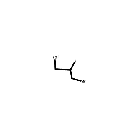 OCC(I)CBr